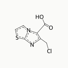 O=C(O)c1c(CCl)nc2sccn12